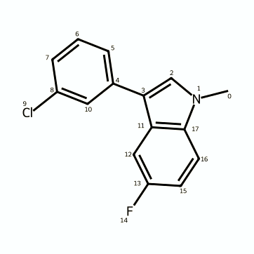 Cn1cc(-c2cccc(Cl)c2)c2cc(F)ccc21